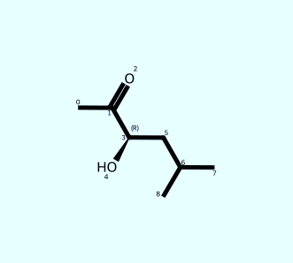 CC(=O)[C@H](O)CC(C)C